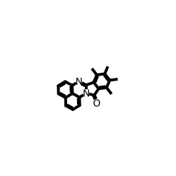 Cc1c(C)c(C)c2c(c1C)C(=O)N1C2=Nc2cccc3cccc1c23